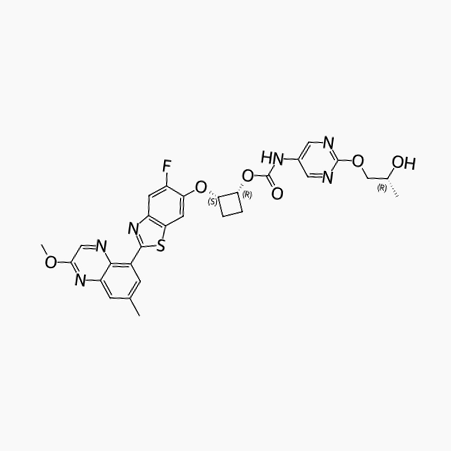 COc1cnc2c(-c3nc4cc(F)c(O[C@H]5CC[C@H]5OC(=O)Nc5cnc(OC[C@@H](C)O)nc5)cc4s3)cc(C)cc2n1